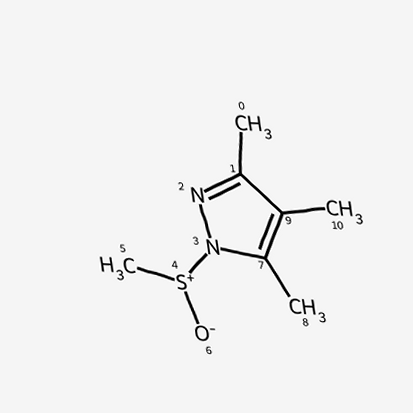 Cc1nn([S+](C)[O-])c(C)c1C